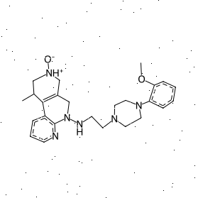 COc1ccccc1N1CCN(CCNN2CC3=C(c4cccnc42)C(C)C[NH+]([O-])C3)CC1